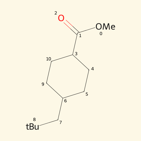 COC(=O)C1CCC(CC(C)(C)C)CC1